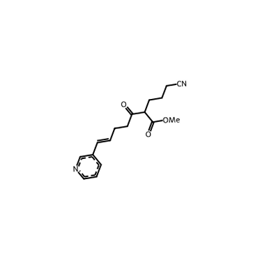 COC(=O)C(CCCC#N)C(=O)CCC=Cc1cccnc1